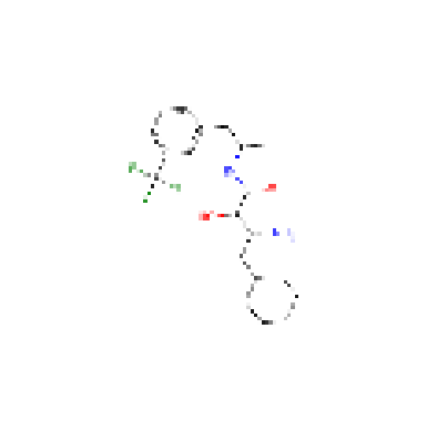 CC(Cc1cccc(C(F)(F)F)c1)NC(=O)C(O)[C@H](N)CC1CCCCC1